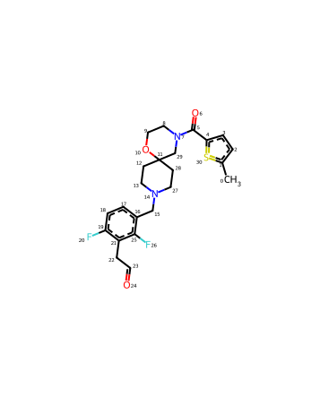 Cc1ccc(C(=O)N2CCOC3(CCN(Cc4ccc(F)c(CC=O)c4F)CC3)C2)s1